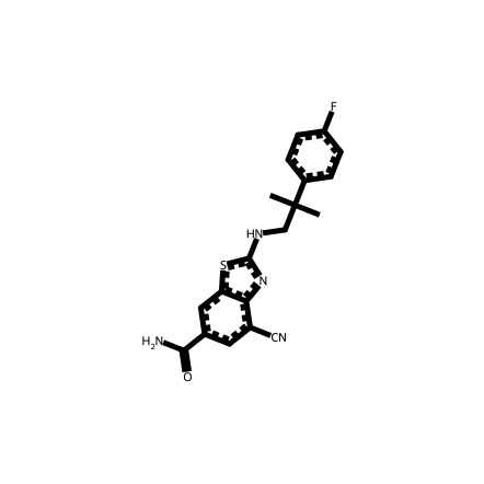 CC(C)(CNc1nc2c(C#N)cc(C(N)=O)cc2s1)c1ccc(F)cc1